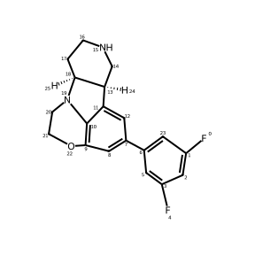 Fc1cc(F)cc(-c2cc3c4c(c2)[C@@H]2CNCC[C@@H]2N4CCO3)c1